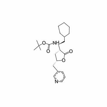 CC(C)(C)OC(=O)N[C@@H](CC1CCCCC1)[C@H]1C[C@@H](Cc2cccnc2)OC1=O